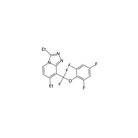 CCc1ccn2c(CC)nnc2c1C(F)(F)Oc1c(F)cc(F)cc1F